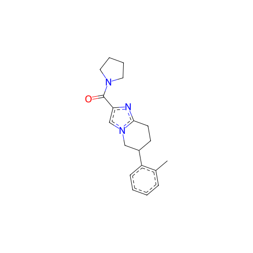 Cc1ccccc1C1CCc2nc(C(=O)N3CCCC3)cn2C1